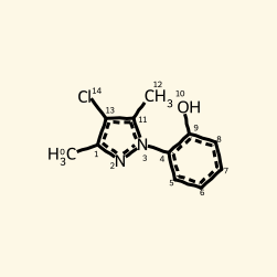 Cc1nn(-c2ccccc2O)c(C)c1Cl